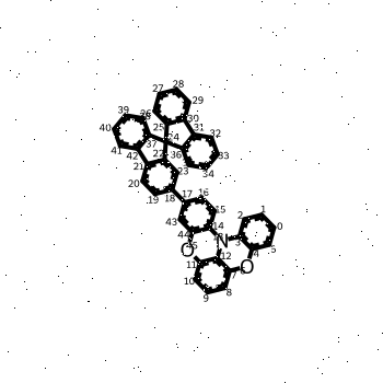 c1ccc2c(c1)Oc1cccc3c1N2c1ccc(-c2ccc4c(c2)C2(c5ccccc5-c5ccccc52)c2ccccc2-4)cc1O3